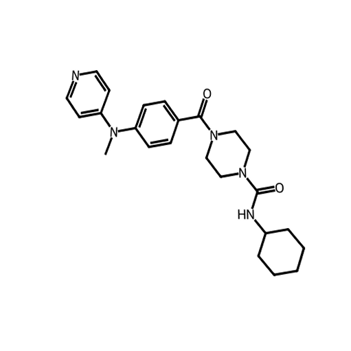 CN(c1ccncc1)c1ccc(C(=O)N2CCN(C(=O)NC3CCCCC3)CC2)cc1